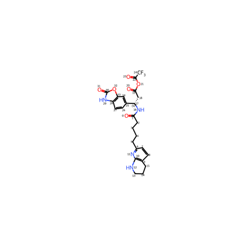 O=C(CCCCc1ccc2c(n1)NCCC2)N[C@@H](CC(=O)OC(=O)C(F)(F)F)c1ccc2[nH]c(=O)oc2c1